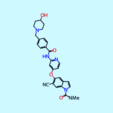 CNC(=O)n1ccc2cc(Oc3ccnc(NC(=O)c4ccc(CN5CCC(O)CC5)cc4)c3)c(C#N)cc21